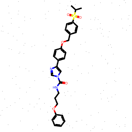 CC(C)S(=O)(=O)c1ccc(COc2ccc(-c3cn(C(=O)NCCCOc4ccccc4)cn3)cc2)cc1